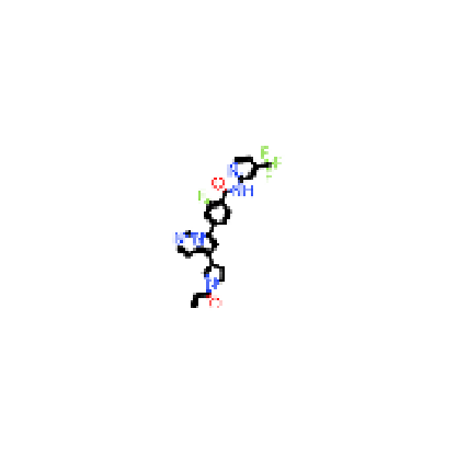 C=CC(=O)N1CCC(c2cc(-c3ccc(C(=O)Nc4cc(C(F)(F)F)ccn4)c(F)c3)n3cnccc23)C1